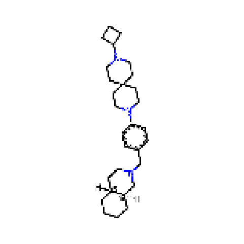 c1cc(N2CCC3(CC2)CCN(C2CCC2)CC3)ccc1CN1CC[C@H]2CCCC[C@@H]2C1